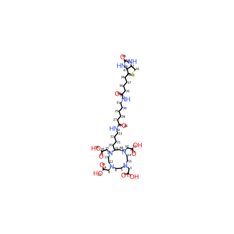 O=C(O)CN1CCN(CC(=O)O)CCN(CC(=O)O)C(CCCCNC(=O)CCCCCNC(=O)CCCCC2SCC3NC(=O)NC32)CN(CC(=O)O)CC1